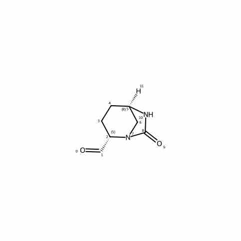 O=C[C@@H]1CC[C@@H]2CN1C(=O)N2